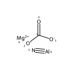 O=C([O-])[O-].[Mg+2].[N]#[Al]